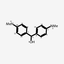 CNc1ccc(C(O)c2ccc(NC)cc2)cc1